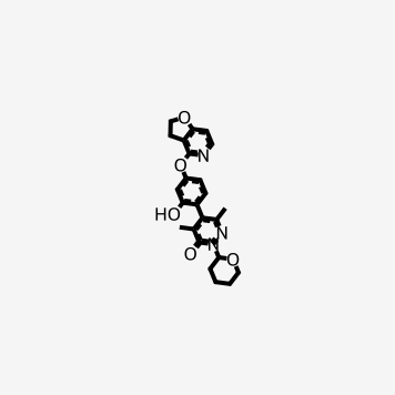 Cc1nn(C2CCCCO2)c(=O)c(C)c1-c1ccc(Oc2nccc3c2CCO3)cc1O